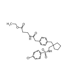 CCOC(=O)CCNC(=O)Cc1ccc(CC2(CNS(=O)(=O)c3ccc(Cl)cc3)CCCC2)cc1